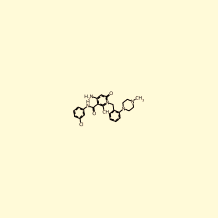 Cc1c(C(=O)Nc2cccc(Cl)c2)c(N)cc(=O)n1Cc1ccccc1N1CCN(C)CC1